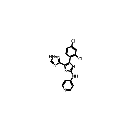 Clc1ccc(-c2nc(Nc3ccncc3)sc2-c2nc[nH]n2)c(Cl)c1